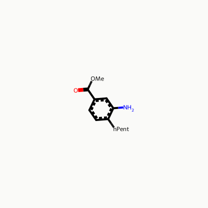 CCCCCc1ccc(C(=O)OC)cc1N